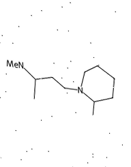 CNC(C)CCN1CCCCC1C